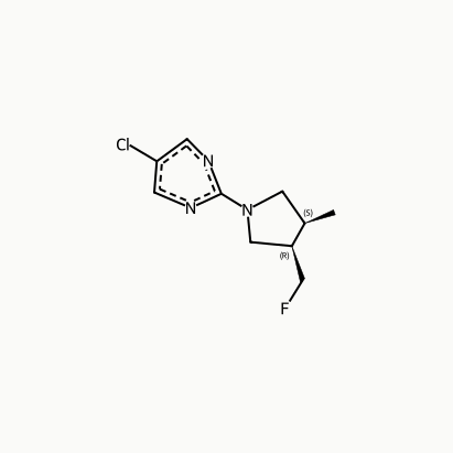 C[C@@H]1CN(c2ncc(Cl)cn2)C[C@@H]1CF